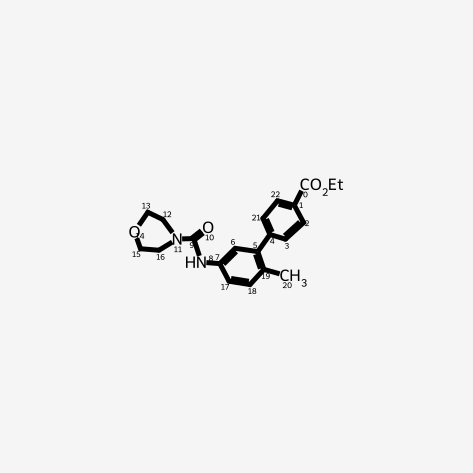 CCOC(=O)c1ccc(-c2cc(NC(=O)N3CCOCC3)ccc2C)cc1